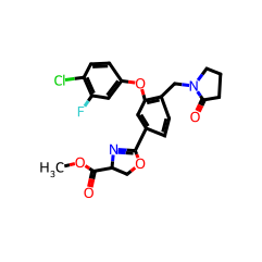 COC(=O)C1COC(c2ccc(CN3CCCC3=O)c(Oc3ccc(Cl)c(F)c3)c2)=N1